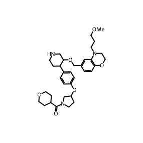 COCCCN1CCOc2ccc(COC3CNCCC3c3ccc(OC4CCN(C(=O)C5CCOCC5)C4)cc3)cc21